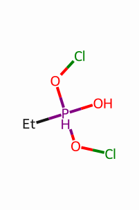 CC[PH](O)(OCl)OCl